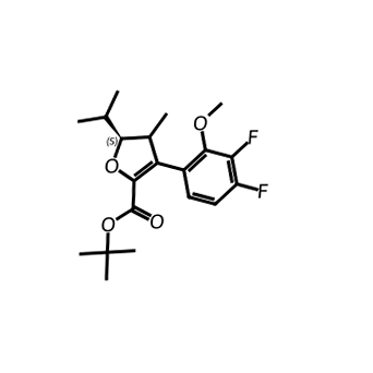 COc1c(C2=C(C(=O)OC(C)(C)C)O[C@@H](C(C)C)C2C)ccc(F)c1F